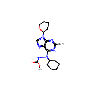 CC(C)(C)OC(=O)NN(c1nc(C#N)nc2c1ncn2C1CCCCO1)C1CCCCC1